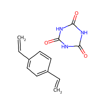 C=Cc1ccc(C=C)cc1.O=c1[nH]c(=O)[nH]c(=O)[nH]1